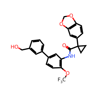 O=C(Nc1cc(-c2cccc(CO)c2)ccc1OC(F)(F)F)C1(c2ccc3c(c2)OCO3)CC1